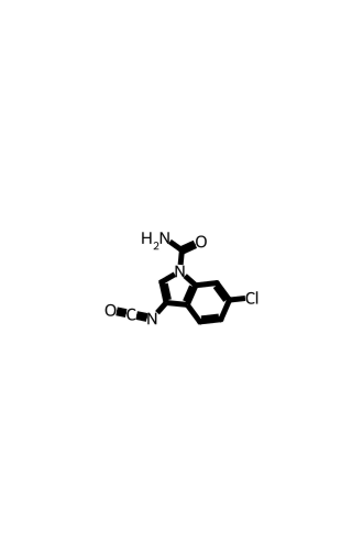 NC(=O)n1cc(N=C=O)c2ccc(Cl)cc21